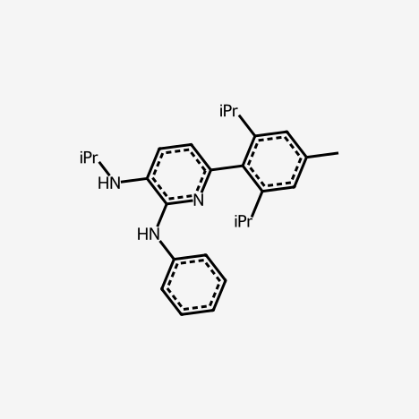 Cc1cc(C(C)C)c(-c2ccc(NC(C)C)c(Nc3ccccc3)n2)c(C(C)C)c1